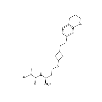 CN(C(=O)N[C@@H](CCOC1CC(CCc2ccc3c(n2)NCCC3)C1)C(=O)O)C(C)(C)C